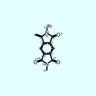 C=C1c2cc3c(cc2C(=O)N1C(C)C)C(=O)N(C)C3=O